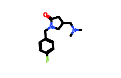 CN(C)CC1CC(=O)N(Cc2ccc(F)cc2)C1